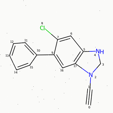 C#CN1CNc2cc(Cl)c(-c3ccccc3)cc21